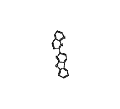 c1cnc2nc(-c3ccc4c(n3)oc3ccccc34)ccc2c1